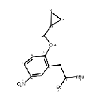 CCCCC(CC)Cc1[c]c([N+](=O)[O-])ccc1OCC1CC1